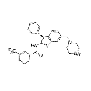 O=C(Nc1nc2cc(CN3CCNCC3)ccc2n1-c1ccccc1)c1cccc(C(F)(F)F)c1